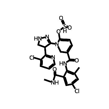 CNC(=O)c1cc(Cl)cc(C)c1NC(=O)C1=CC=C(O[SH](=O)=O)N(C2=NNCC2c2ncccc2Cl)C1